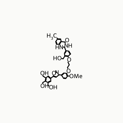 COc1ccc(-c2cc(-c3cc(CO)c(CO)c(CO)c3)on2)cc1OCCCOc1ccc(C2NC(=O)c3cc(C)ccc3N2)cc1CO